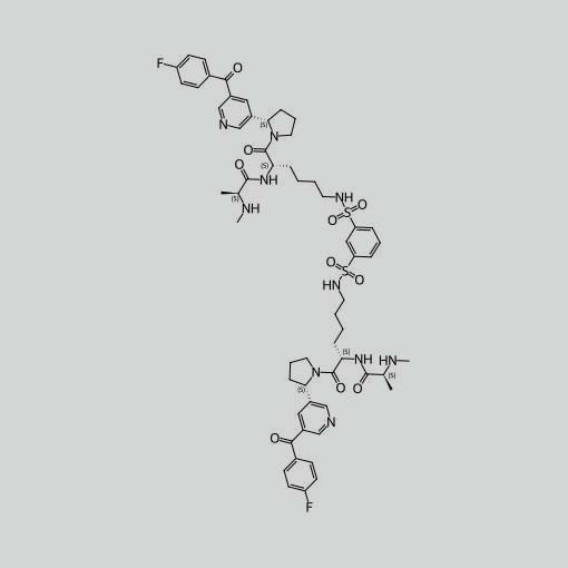 CN[C@@H](C)C(=O)N[C@@H](CCCCNS(=O)(=O)c1cccc(S(=O)(=O)NCCCC[C@H](NC(=O)[C@H](C)NC)C(=O)N2CCC[C@H]2c2cncc(C(=O)c3ccc(F)cc3)c2)c1)C(=O)N1CCC[C@H]1c1cncc(C(=O)c2ccc(F)cc2)c1